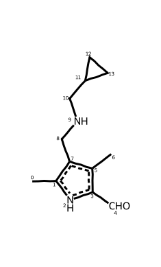 Cc1[nH]c(C=O)c(C)c1CNCC1CC1